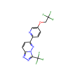 FC(F)(F)COc1ccc(-c2ccc3nnc(C(F)(F)F)n3n2)nc1